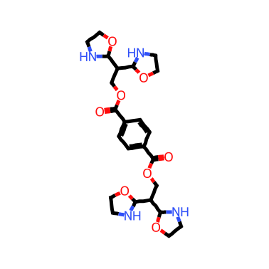 O=C(OCC(C1NCCO1)C1NCCO1)c1ccc(C(=O)OCC(C2NCCO2)C2NCCO2)cc1